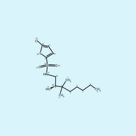 CCCCCC(C)(C)[C@@H](O)CNS(=O)(=O)c1ccc(Cl)s1